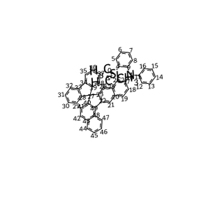 C[Si](C)(C)c1ccccc1N(c1ccccc1)c1ccc2cc3c(cc2c1)C1(c2ccccc2-c2ccccc21)c1ccc2ccccc2c1-3